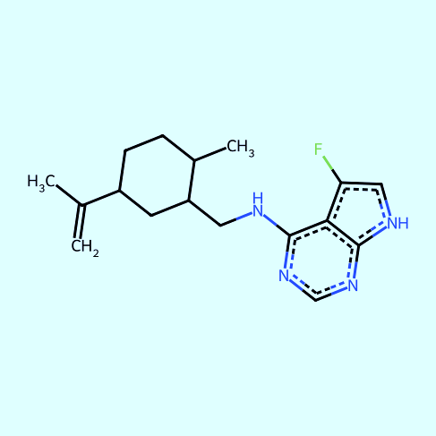 C=C(C)C1CCC(C)C(CNc2ncnc3[nH]cc(F)c23)C1